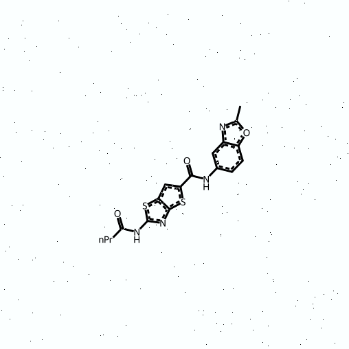 CCCC(=O)Nc1nc2sc(C(=O)Nc3ccc4oc(C)nc4c3)cc2s1